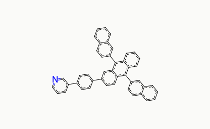 c1cncc(-c2ccc(-c3ccc4c(-c5ccc6ccccc6c5)c5ccccc5c(-c5ccc6ccccc6c5)c4c3)cc2)c1